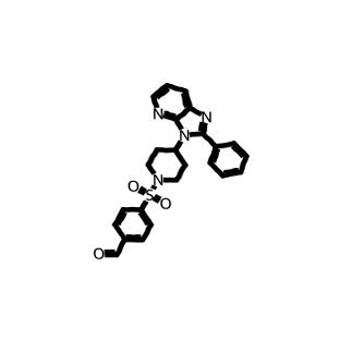 O=Cc1ccc(S(=O)(=O)N2CCC(n3c(-c4ccccc4)nc4cccnc43)CC2)cc1